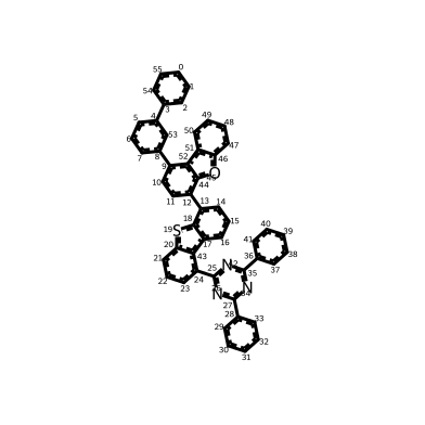 c1ccc(-c2cccc(-c3ccc(-c4cccc5c4sc4cccc(-c6nc(-c7ccccc7)nc(-c7ccccc7)n6)c45)c4oc5ccccc5c34)c2)cc1